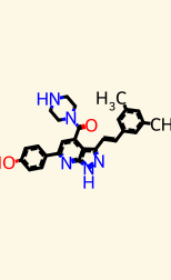 Cc1cc(C)cc(C=Cc2n[nH]c3nc(-c4ccc(O)cc4)cc(C(=O)N4CCNCC4)c23)c1